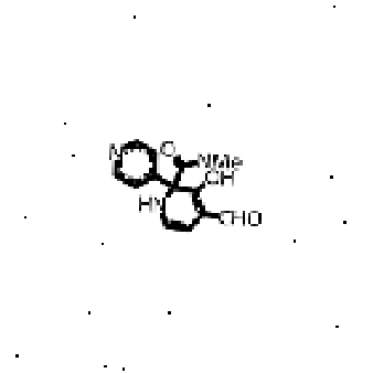 CNC(=O)C1(c2ccncc2)NC=CC(C=O)=C1O